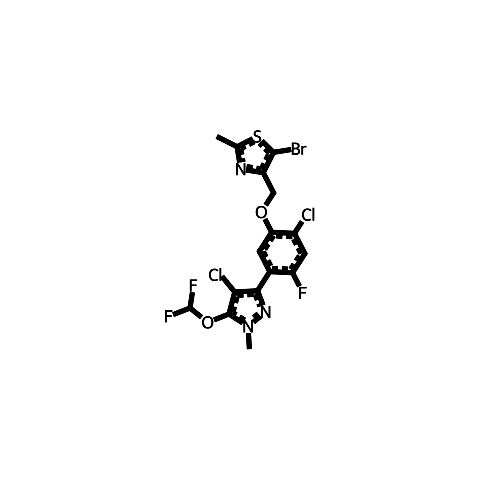 Cc1nc(COc2cc(-c3nn(C)c(OC(F)F)c3Cl)c(F)cc2Cl)c(Br)s1